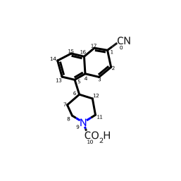 N#Cc1ccc2c(C3CCN(C(=O)O)CC3)cccc2c1